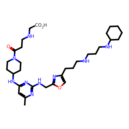 Cc1cc(NC2CCN(C(=O)CCNCC(=O)O)CC2)nc(NCc2nc(CCCNCCCNC3CCCCC3)co2)n1